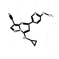 COc1ccc(-c2cc(NC3CC3)n3ncc(C#N)c3n2)cn1